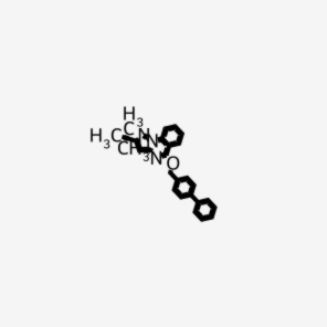 CC(C)(C)c1cc2nc(OCc3ccc(-c4ccccc4)cc3)c3ccccc3n2n1